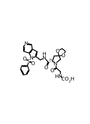 O=C(O)NCC(=O)N1CC2(C[C@H]1C(=O)NCc1cc3cnccc3n1S(=O)(=O)c1ccccc1)OCCO2